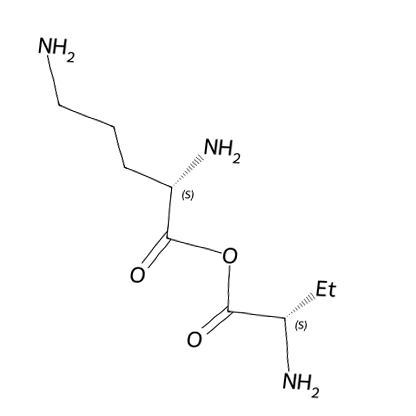 CC[C@H](N)C(=O)OC(=O)[C@@H](N)CCCN